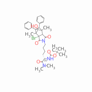 CN(C)C(=O)[C@H](CCCCN1C(=O)C2C3(C)C(c4ccccc4)=C(c4ccccc4)C(C)(C3O)C2(Br)C1=O)NC(=O)OC(C)(C)C